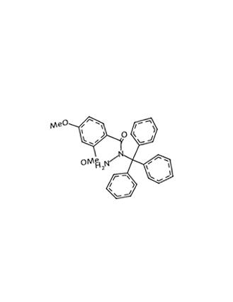 COc1ccc(C(=O)N(N)C(c2ccccc2)(c2ccccc2)c2ccccc2)c(OC)c1